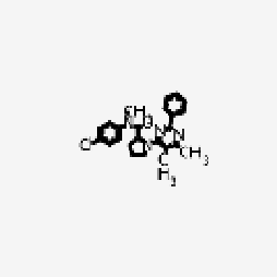 Cc1nc(-c2ccccc2)nc(N2CCCC2C(=O)N(C)c2ccc(Cl)cc2)c1C